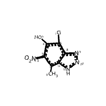 Cc1c([N+](=O)[O-])c(O)c(Cl)c2nn[nH]c12